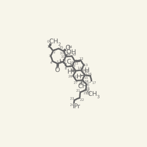 C=CC1CCC(=O)C2C[C@@]3(C)C(=CC[C@H]4[C@@H]5CC[C@H]([C@H](C)CCCC(C)C)[C@@]5(C)CC[C@@H]43)CC2(O)C(=O)C1